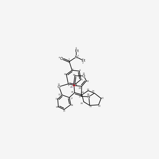 CCN(CC)C(=O)c1ccc2c(c1)Oc1ccccc1C2=C1CC2CCC(C1)N2Cc1ccoc1